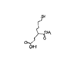 O=C(O)CCC(CCCCS)C(=O)O